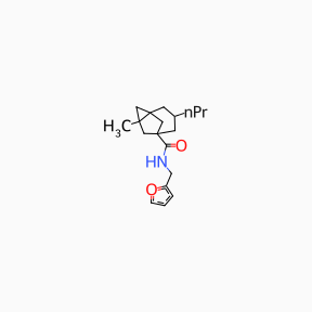 CCCC1CC2(C(=O)NCc3ccco3)CC3(C)CC3(C1)C2